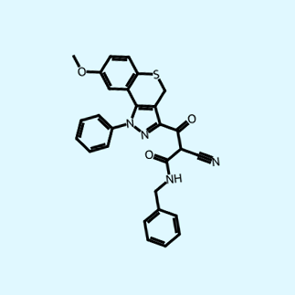 COc1ccc2c(c1)-c1c(c(C(=O)C(C#N)C(=O)NCc3ccccc3)nn1-c1ccccc1)CS2